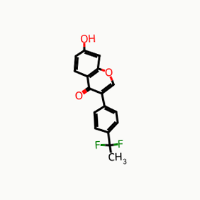 CC(F)(F)c1ccc(-c2coc3cc(O)ccc3c2=O)cc1